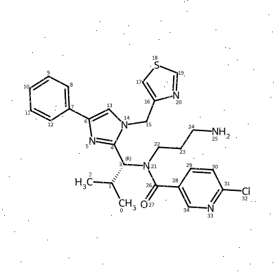 CC(C)[C@H](c1nc(-c2ccccc2)cn1Cc1cscn1)N(CCCN)C(=O)c1ccc(Cl)nc1